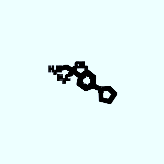 CC(C)(CN)c1ccc(N2CCCC2)cc1